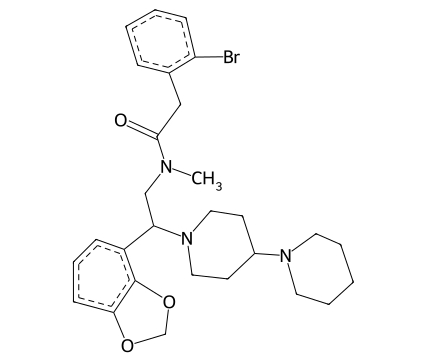 CN(CC(c1cccc2c1OCO2)N1CCC(N2CCCCC2)CC1)C(=O)Cc1ccccc1Br